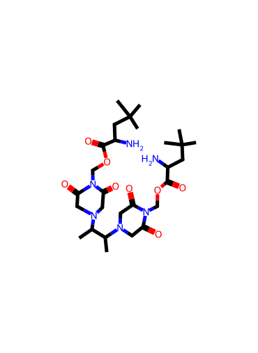 CC(C(C)N1CC(=O)N(COC(=O)C(N)CC(C)(C)C)C(=O)C1)N1CC(=O)N(COC(=O)C(N)CC(C)(C)C)C(=O)C1